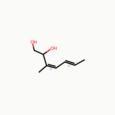 C/C=C/C=C(/C)C(O)CO